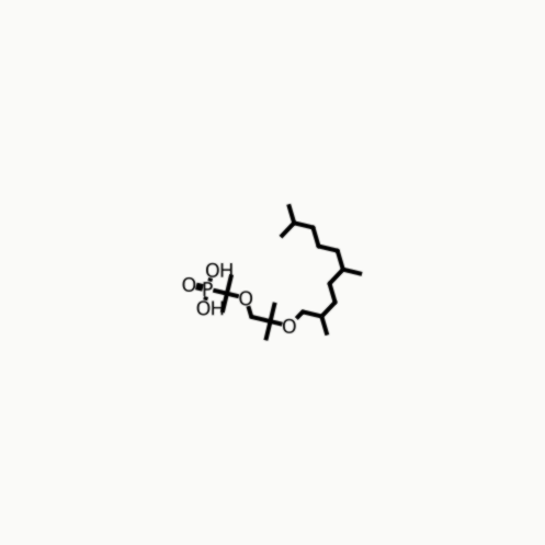 CC(C)CCCC(C)CCC(C)COC(C)(C)COC(C)(C)P(=O)(O)O